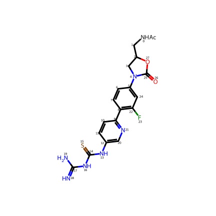 CC(=O)NCC1CN(c2ccc(-c3ccc(NC(=S)NC(=N)N)cn3)c(F)c2)C(=O)O1